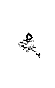 C=C(C)CSC[C@H](NC)C(=O)N[C@@H](C)C(=O)N[C@H](C=O)Cc1c[nH]c2ccccc12